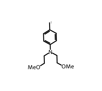 [CH]c1ccc(N(CCOC)CCOC)cc1